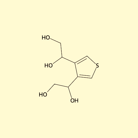 OCC(O)c1cscc1C(O)CO